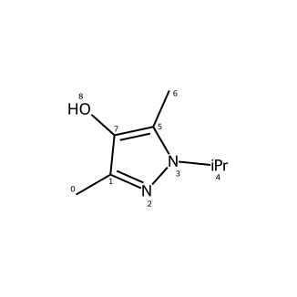 Cc1nn(C(C)C)c(C)c1O